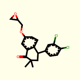 CC1(C)CC(c2ccc(Cl)c(Cl)c2)c2ccc(OCC3CO3)cc2C1=O